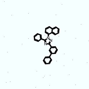 c1ccc(-c2cccc(-c3nc(-c4ccccc4)n(-c4cccc5ccccc45)n3)c2)cc1